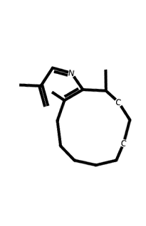 C=C(C)/C=N\C1=C(/C)CCCCCCCCC1C